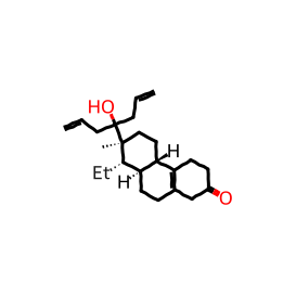 C=CCC(O)(CC=C)[C@@]1(C)CC[C@@H]2C3=C(CC[C@H]2[C@@H]1CC)CC(=O)CC3